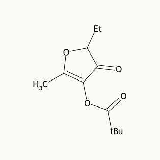 CCC1OC(C)=C(OC(=O)C(C)(C)C)C1=O